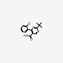 CC(C)(C)c1ncc(C(=O)O)c(-c2ccccc2Cl)n1